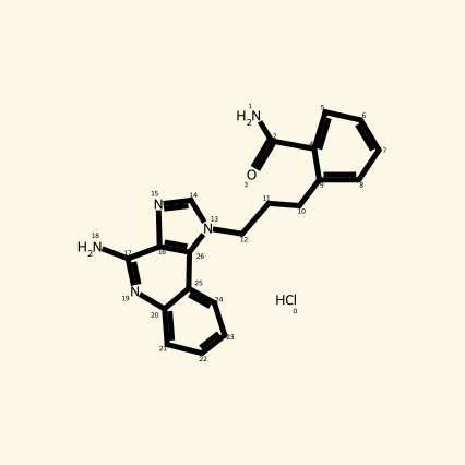 Cl.NC(=O)c1ccccc1CCCn1cnc2c(N)nc3ccccc3c21